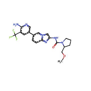 COCC1CCCN1C(=O)Nc1cn2cc(-c3cnc(N)c(C(F)(F)F)c3)ccc2n1